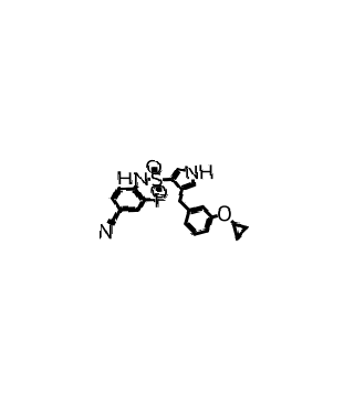 N#Cc1ccc(NS(=O)(=O)c2c[nH]cc2Cc2cccc(OC3CC3)c2)c(F)c1